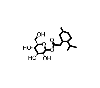 CC1CCC(C(C)C)C(CC(=O)OC2O[C@H](CO)[C@@H](O)[C@H](O)[C@H]2O)C1